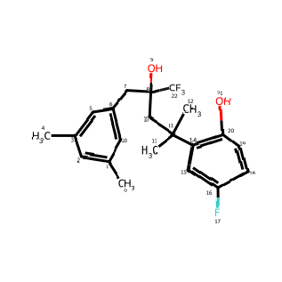 Cc1cc(C)cc(CC(O)(CC(C)(C)c2cc(F)ccc2O)C(F)(F)F)c1